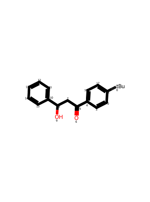 CC(C)(C)c1ccc(C(=O)CC(O)c2ccccc2)cc1